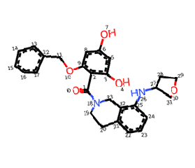 O=C(c1c(O)cc(O)cc1OCc1ccccc1)N1CCc2cccc(NC3CCOC3)c2C1